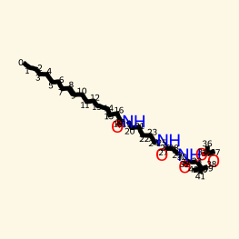 CCCCCCCCC=CCCCCCCCC(=O)NCCCCCNC(=O)CCNC(=O)C1OC(C)(C)OCC1(C)C